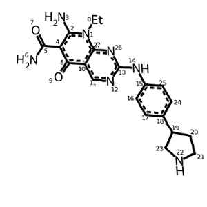 CCn1c(N)c(C(N)=O)c(=O)c2cnc(Nc3ccc(C4CCNC4)cc3)nc21